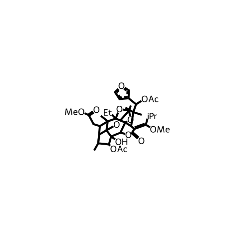 CCC12OC3(C)OC14C(C(C)(C)C(OC(C)=O)c1ccoc1)/C(=C(/OC)C(C)C)C(=O)OC4C1(O)C(OC(C)=O)C4(C)CC1(O3)C2(C)C4CC(=O)OC